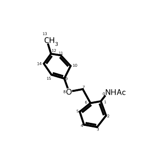 CC(=O)Nc1ccccc1COc1ccc(C)cc1